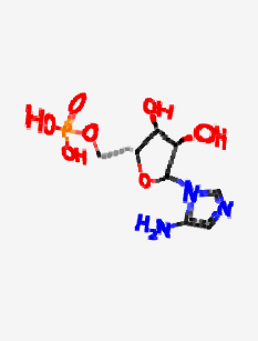 Nc1cncn1C1O[C@H](COP(=O)(O)O)[C@@H](O)[C@H]1O